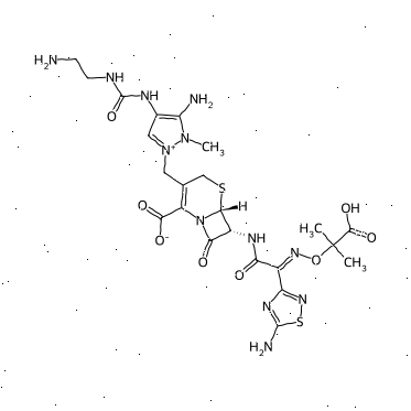 Cn1c(N)c(NC(=O)NCCN)c[n+]1CC1=C(C(=O)[O-])N2C(=O)[C@@H](NC(=O)C(=NOC(C)(C)C(=O)O)c3nsc(N)n3)[C@H]2SC1